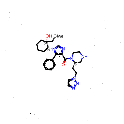 COC[C@]1(O)CCCC[C@H]1n1cnc(C(=O)N2CCNC[C@H]2CCn2ccnn2)c1-c1ccccc1